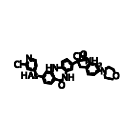 CC(Cc1ccc(N2CCOCC2)cc1)(C(N)=O)c1ccc2c(c1)NC(=O)c1ccc([AsH]c3ccnc(Cl)c3)cc1N2